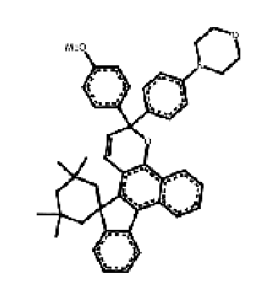 COc1ccc(C2(c3ccc(N4CCOCC4)cc3)C=Cc3c4c(c5ccccc5c3O2)-c2ccccc2C42CC(C)(C)CC(C)(C)C2)cc1